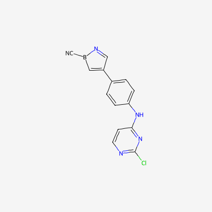 N#CB1C=C(c2ccc(Nc3ccnc(Cl)n3)cc2)C=N1